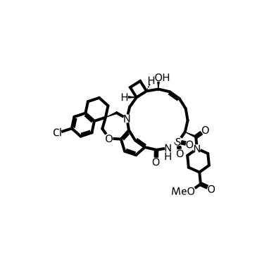 COC(=O)C1CCN(C(=O)[C@@H]2CC/C=C\[C@H](O)[C@@H]3CC[C@H]3CN3C[C@@]4(CCCc5cc(Cl)ccc54)COc4ccc(cc43)C(=O)NS2(=O)=O)CC1